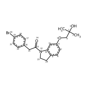 CC(C)(O)COc1ccc2c(c1)N(C(=O)Cc1ccc(Br)cc1)CC2